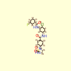 O=C(Nc1ccc(Cl)c(NC(=O)c2cccc(F)c2)c1)c1ccc(N2CCNS2(=O)=O)cc1